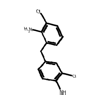 Nc1ccc(Cc2cccc(Cl)c2N)cc1Cl